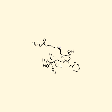 COC(=O)CCC/C=C\C[C@@H]1[C@@H](CCC(C)(C)[Si](C)(C)O)[C@H](OC2CCCCO2)C[C@@H]1O